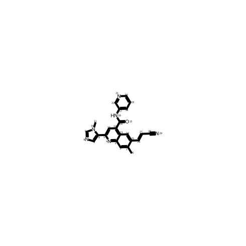 Cc1cc2nc(-c3cncn3C)cc(C(=O)Nc3cccnc3)c2cc1/C=C/C#N